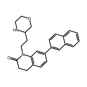 O=C1CCc2ccc(-c3ccc4ccccc4c3)cc2N1CCC1COCCN1